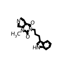 Cn1c(=O)n(CCCc2c[nH]c3ccccc23)c(=O)c2ccncc21